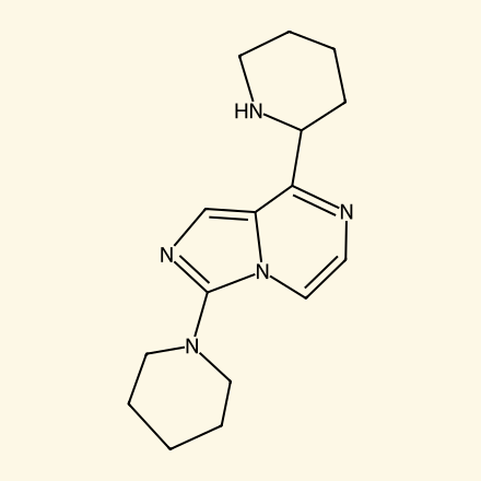 c1cn2c(N3CCCCC3)ncc2c(C2CCCCN2)n1